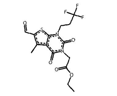 CCOC(=O)Cn1c(=O)c2c(C)c(C=O)sc2n(CCC(F)(F)F)c1=O